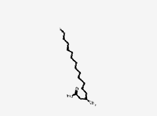 CC(CCCCCCCCCCCCCI)CC(=O)O